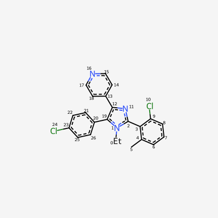 CCn1c(-c2c(C)cccc2Cl)nc(-c2ccncc2)c1-c1ccc(Cl)cc1